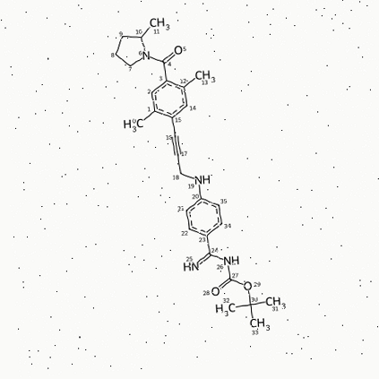 Cc1cc(C(=O)N2CCCC2C)c(C)cc1C#CCNc1ccc(C(=N)NC(=O)OC(C)(C)C)cc1